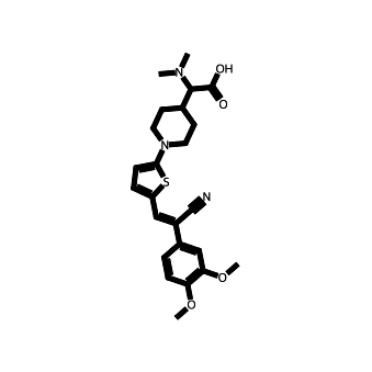 COc1ccc(/C(C#N)=C/c2ccc(N3CCC(C(C(=O)O)N(C)C)CC3)s2)cc1OC